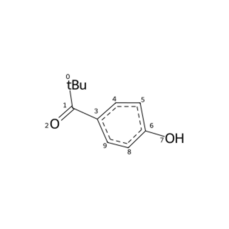 CC(C)(C)C(=O)c1ccc(O)cc1